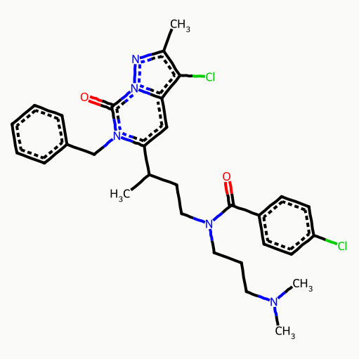 Cc1nn2c(=O)n(Cc3ccccc3)c(C(C)CCN(CCCN(C)C)C(=O)c3ccc(Cl)cc3)cc2c1Cl